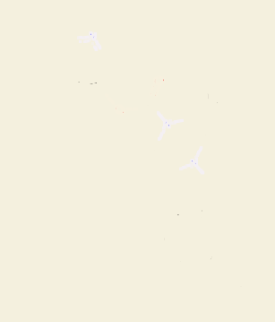 C[C@@H]1CN(Cc2cc(F)cc(C(F)(F)F)c2)CCN1C(=O)Oc1cncc(F)c1